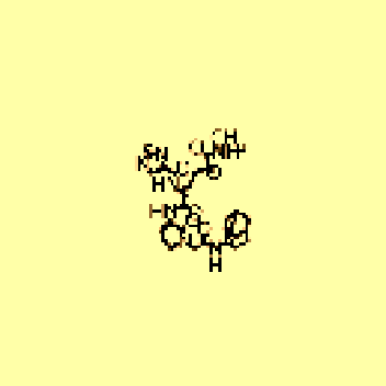 CNC(=O)C(=O)CC[C@H](NC(=O)c1cnsn1)C(=O)Nc1cccn(CC(=O)NC2C3CC4CC(C3)CC2C4)c1=O